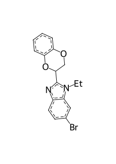 CCn1c(C2COc3ccccc3O2)nc2ccc(Br)cc21